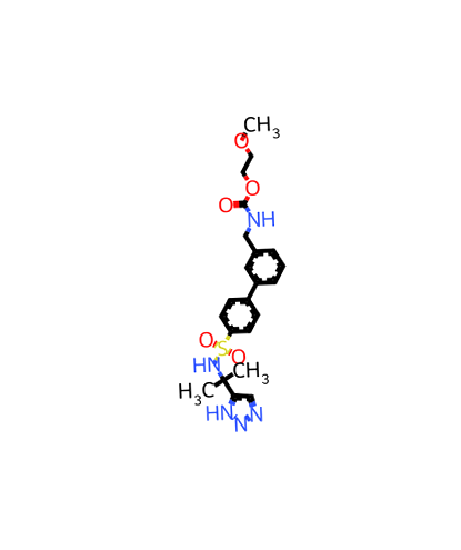 COCCOC(=O)NCc1cccc(-c2ccc(S(=O)(=O)NC(C)(C)c3cnn[nH]3)cc2)c1